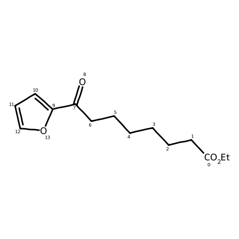 CCOC(=O)CCCCCCC(=O)c1ccco1